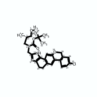 COC[C@@H](C)CN(Cc1nc2c([nH]1)-c1cc3c(cc1CC2)-c1ccc(Cl)cc1CO3)C(=O)OC(C)(C)C